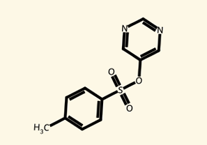 Cc1ccc(S(=O)(=O)Oc2cncnc2)cc1